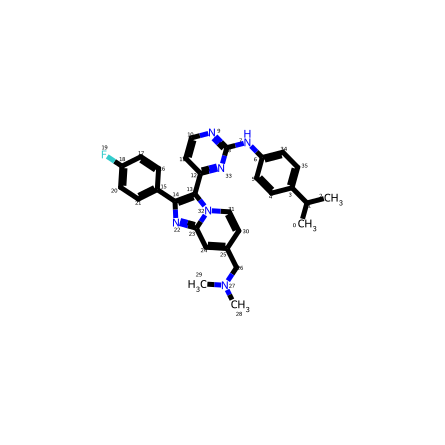 CC(C)c1ccc(Nc2nccc(-c3c(-c4ccc(F)cc4)nc4cc(CN(C)C)ccn34)n2)cc1